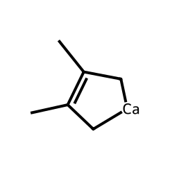 CC1=C(C)[CH2][Ca][CH2]1